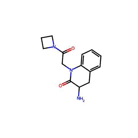 NC1Cc2ccccc2N(CC(=O)N2CCC2)C1=O